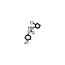 COc1ccc(OC(=O)Nc2ccccc2Cl)cc1